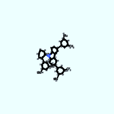 Cc1cc(-c2ccc3c(c2)c2cc(-c4cc(C(C)(C)C)cc(C(F)(F)F)c4)ccc2n3-c2ccccc2-c2cc(C(C)(C)C)cc(C(C)(C)C)c2)cc(C(C)(C)C)c1